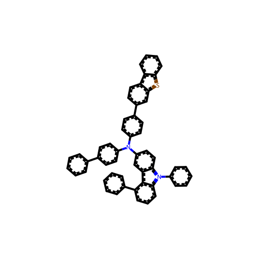 c1ccc(-c2ccc(N(c3ccc(-c4ccc5c(c4)sc4ccccc45)cc3)c3ccc4c(c3)c3c(-c5ccccc5)cccc3n4-c3ccccc3)cc2)cc1